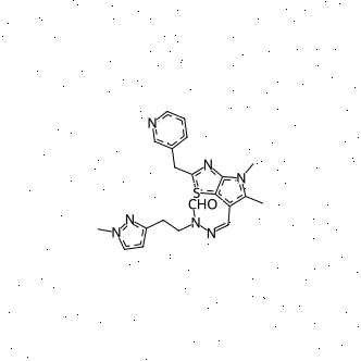 Cc1c(/C=N\N(C=O)CCc2ccn(C)n2)c2sc(Cc3cccnc3)nc2n1C